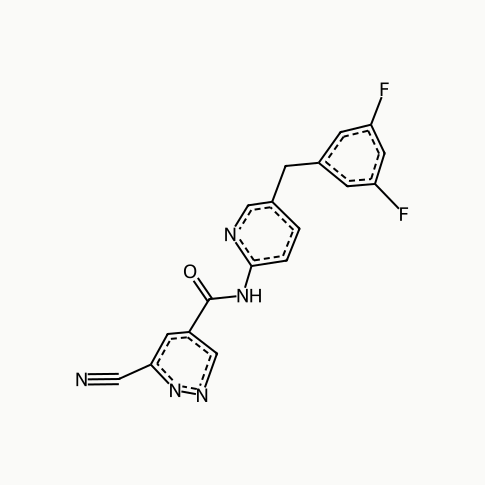 N#Cc1cc(C(=O)Nc2ccc(Cc3cc(F)cc(F)c3)cn2)cnn1